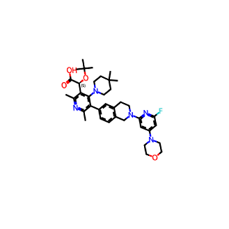 Cc1nc(C)c([C@H](OC(C)(C)C)C(=O)O)c(N2CCC(C)(C)CC2)c1-c1ccc2c(c1)CCN(c1cc(N3CCOCC3)cc(F)n1)C2